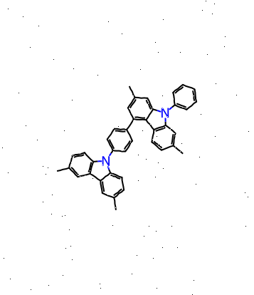 Cc1ccc2c(c1)c1cc(C)ccc1n2-c1ccc(-c2cc(C)cc3c2c2ccc(C)cc2n3-c2ccccc2)cc1